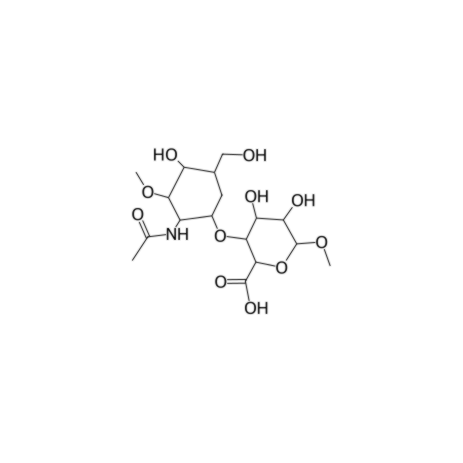 COC1OC(C(=O)O)C(OC2CC(CO)C(O)C(OC)C2NC(C)=O)C(O)C1O